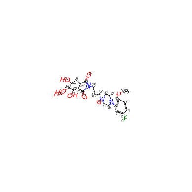 CC(C)Oc1ccc(F)cc1N1CC[N+]([O-])(CCCN2C(=O)C3CC(O)C(O)C(O)C3C2=O)CC1